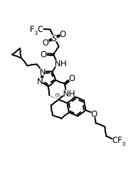 O=C(CS(=O)(=O)CC(F)(F)F)Nc1c2c(nn1CCC1CC1)C[C@]1(CCCc3cc(OCCCC(F)(F)F)ccc31)NC2=O